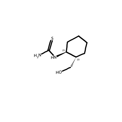 NC(=S)N[C@H]1CCCC[C@@H]1CO